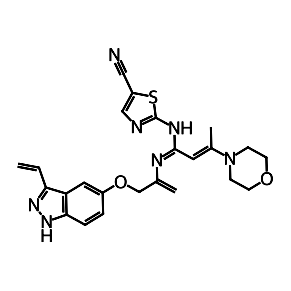 C=Cc1n[nH]c2ccc(OCC(=C)/N=C(\C=C(/C)N3CCOCC3)Nc3ncc(C#N)s3)cc12